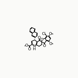 COC(=O)C1=C[C@H](c2ccc3ccccc3c2)C2=C(C[C@@H](C)[C@]3(Oc4c(Cl)c(OC)cc(OC)c4C3=O)C2=O)N1